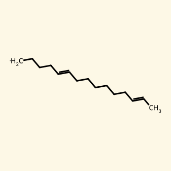 [CH2]CCCC=CCCCCCCC=CC